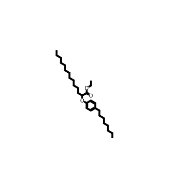 CCCCCCCCCCCCC(Oc1ccc(CCCCCCCC)cc1)C(=O)OCC